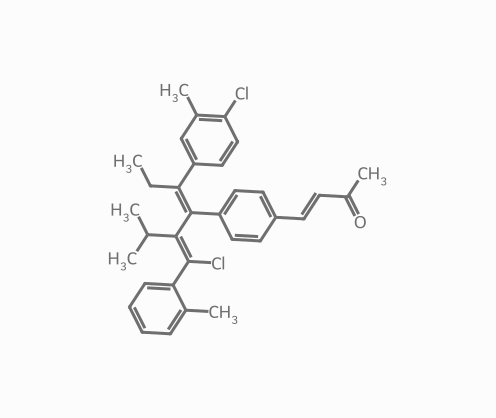 CC/C(=C(\C(=C(/Cl)c1ccccc1C)C(C)C)c1ccc(/C=C/C(C)=O)cc1)c1ccc(Cl)c(C)c1